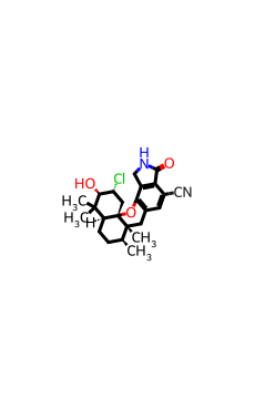 C[C@H]1CC[C@H]2C(C)(C)[C@@H](O)[C@H](Cl)C[C@]23Oc2c(cc(C#N)c4c2CNC4=O)C[C@]13C